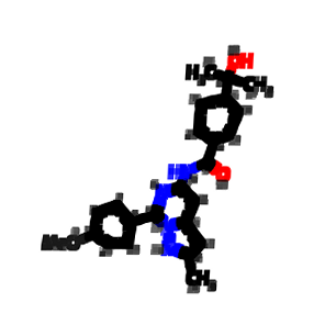 COc1ccc(-c2nc(NC(=O)c3ccc(C(C)(C)O)cc3)cc3cc(C)nn23)cc1